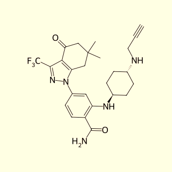 C#CCN[C@H]1CC[C@H](Nc2cc(-n3nc(C(F)(F)F)c4c3CC(C)(C)CC4=O)ccc2C(N)=O)CC1